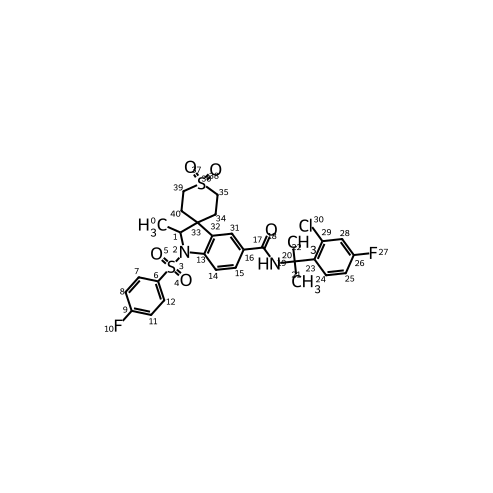 CC1N(S(=O)(=O)c2ccc(F)cc2)c2ccc(C(=O)NC(C)(C)c3ccc(F)cc3Cl)cc2C12CCS(=O)(=O)CC2